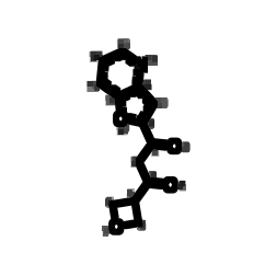 O=C(CC(=O)C1COC1)c1cc2ncccc2o1